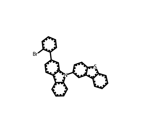 Brc1ccccc1-c1ccc2c3ccccc3n(-c3ccc4sc5ccccc5c4c3)c2c1